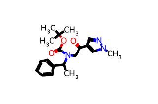 CC(c1ccccc1)N(CC(=O)c1cnn(C)c1)C(=O)OC(C)(C)C